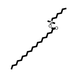 CCCCCCCCCCCCCCCCCC(=O)O[Si](C)(C)CCCCCC